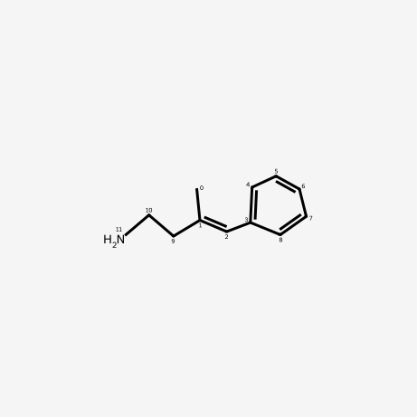 C/C(=C\c1ccccc1)CCN